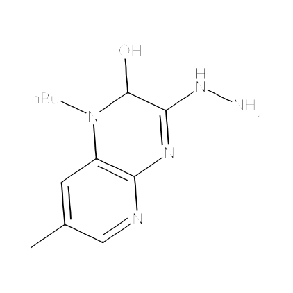 CCCCN1c2cc(C)cnc2N=C(NN)C1O